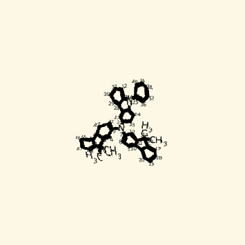 CC1(C)C2=CC(N(c3ccc4c(c3)C(C)(C)c3ccccc3-4)c3ccc4c(c3)c3ccccc3n4-c3ccccc3)=CCC2c2ccccc21